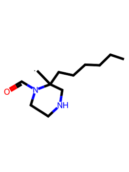 [CH2]C1(CCCCCC)CNCCN1C=O